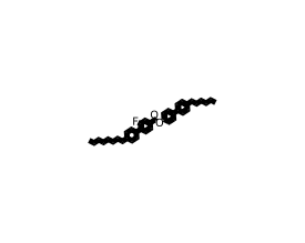 CCCCCCCCC1CCC(c2ccc(C(=O)Oc3ccc(-c4ccc(CCCCCC)cc4)cc3)cc2F)CC1